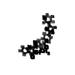 Cc1c(C(=O)N2CCC(c3nc(-c4cccnc4)cs3)CC2)cnn1-c1nc2c(c(=O)[nH]1)CCC2